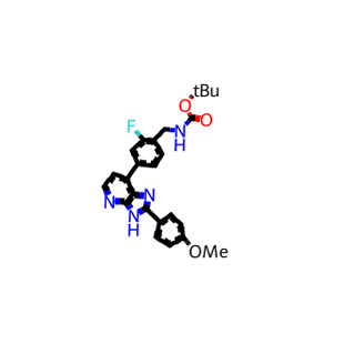 COc1ccc(-c2nc3c(-c4ccc(CNC(=O)OC(C)(C)C)c(F)c4)ccnc3[nH]2)cc1